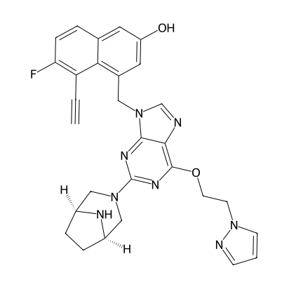 C#Cc1c(F)ccc2cc(O)cc(Cn3cnc4c(OCCn5cccn5)nc(N5C[C@H]6CC[C@@H](C5)N6)nc43)c12